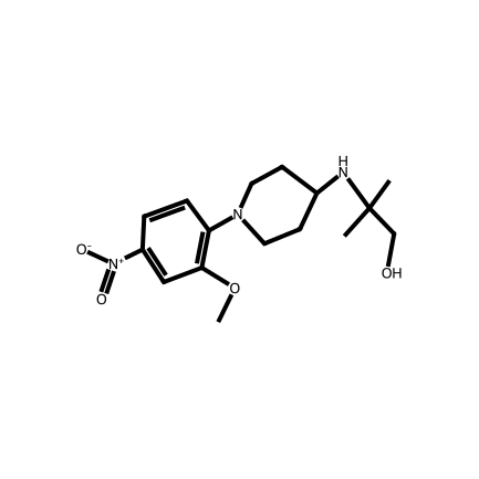 COc1cc([N+](=O)[O-])ccc1N1CCC(NC(C)(C)CO)CC1